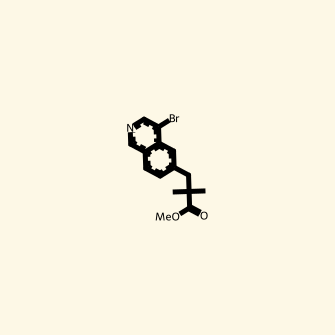 COC(=O)C(C)(C)Cc1ccc2cncc(Br)c2c1